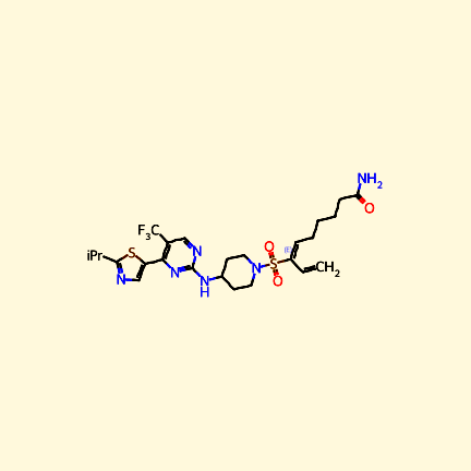 C=C/C(=C\CCCCC(N)=O)S(=O)(=O)N1CCC(Nc2ncc(C(F)(F)F)c(-c3cnc(C(C)C)s3)n2)CC1